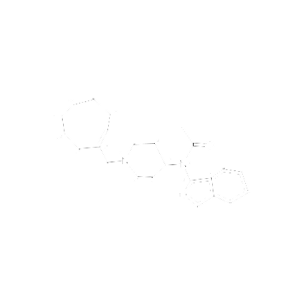 CC(=O)N(c1occ2ccccc12)C1CCN(C/C2=C/CCCCCC2)CC1